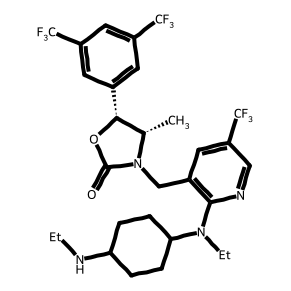 CCNC1CCC(N(CC)c2ncc(C(F)(F)F)cc2CN2C(=O)O[C@H](c3cc(C(F)(F)F)cc(C(F)(F)F)c3)[C@@H]2C)CC1